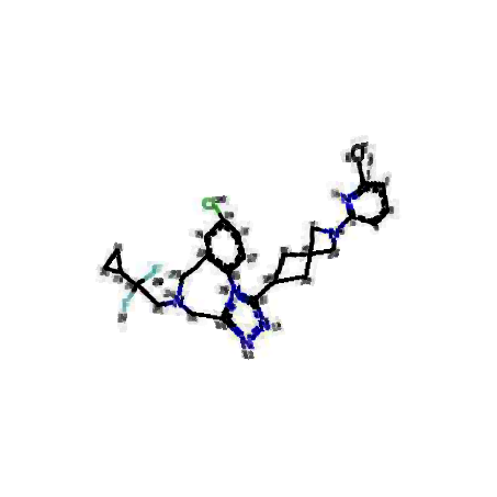 FC(F)(F)c1cccc(N2CC3(CC(c4nnc5n4-c4ccc(Cl)cc4CN(CC(F)(F)C4CC4)C5)C3)C2)n1